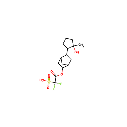 CC1(O)CCCC1C1CC2CC1CC2OC(=O)C(F)(F)S(=O)(=O)O